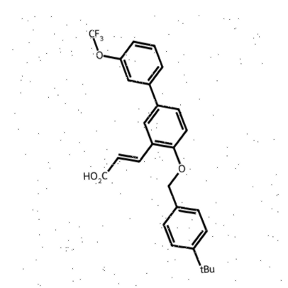 CC(C)(C)c1ccc(COc2ccc(-c3cccc(OC(F)(F)F)c3)cc2/C=C/C(=O)O)cc1